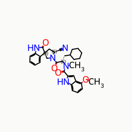 COc1cccc2[nH]c(C(=O)N(C)[C@@H](CC3CCCCC3)C(=O)N3C[C@]4(C[C@H]3C#N)C(=O)Nc3ccccc34)cc12